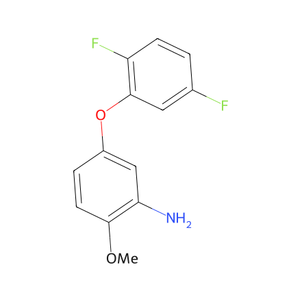 COc1ccc(Oc2cc(F)ccc2F)cc1N